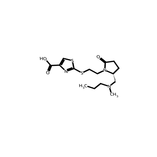 CCCN(C)C[C@H]1CCC(=O)N1CCSc1nc(C(=O)O)cs1